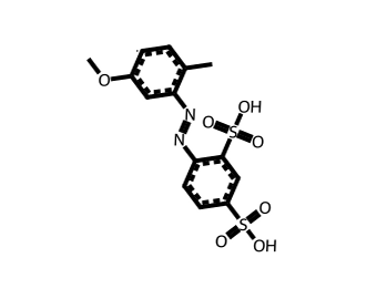 COc1[c]cc(C)c(N=Nc2ccc(S(=O)(=O)O)cc2S(=O)(=O)O)c1